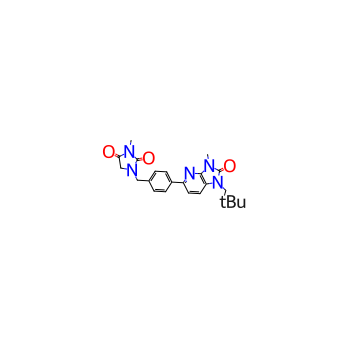 CN1C(=O)CN(Cc2ccc(-c3ccc4c(n3)n(C)c(=O)n4CC(C)(C)C)cc2)C1=O